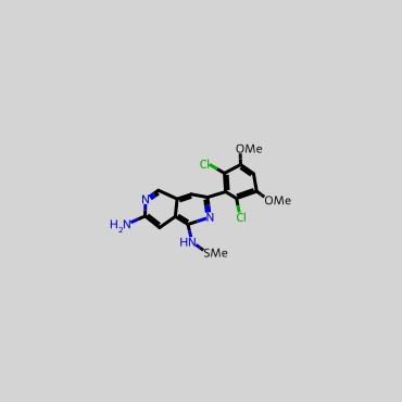 COc1cc(OC)c(Cl)c(-c2cc3cnc(N)cc3c(NSC)n2)c1Cl